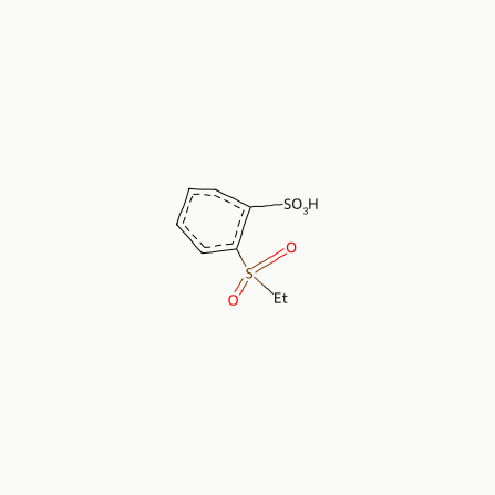 CCS(=O)(=O)c1ccccc1S(=O)(=O)O